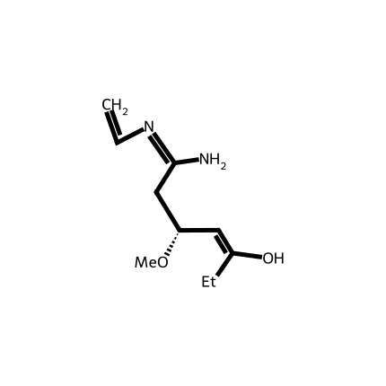 C=C/N=C(/N)C[C@H](/C=C(/O)CC)OC